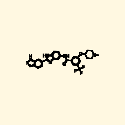 CN1CCC(Oc2cc(C(=O)Nc3ccc4[nH]c(-c5ccc6cn[nH]c6c5)nc4c3)cc(C(F)(F)F)c2)CC1